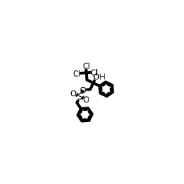 O=S(=O)(Cc1ccccc1)OCC(O)(CC(Cl)(Cl)Cl)c1ccccc1